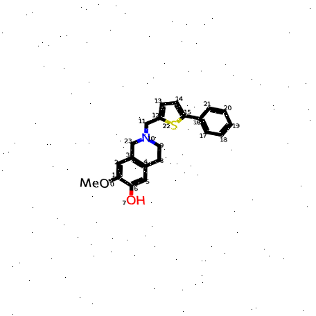 COc1cc2c(cc1O)CCN(Cc1ccc(-c3ccccc3)s1)C2